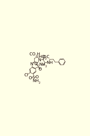 C[C@H](N[C@@H](CCc1ccccc1)C(=O)O)C(=O)N1C/C(=N\c2cc(Cl)c(S(N)(=O)=O)cc2S(N)(=O)=O)CC1C(=O)O